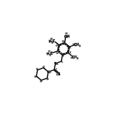 Cc1c(C)c(CSC(=S)N2CCCCC2)c(C)c(C)c1O